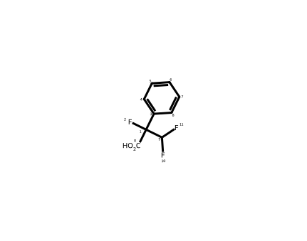 O=C(O)C(F)(c1ccccc1)C(F)F